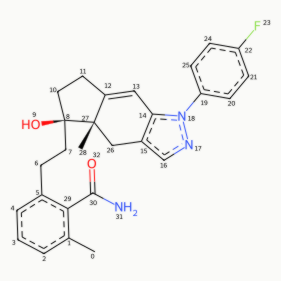 Cc1cccc(CC[C@]2(O)CCC3=Cc4c(cnn4-c4ccc(F)cc4)C[C@@]32C)c1C(N)=O